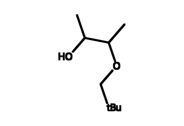 CC(O)C(C)OCC(C)(C)C